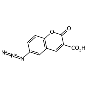 [N-]=[N+]=Nc1ccc2oc(=O)c(C(=O)O)cc2c1